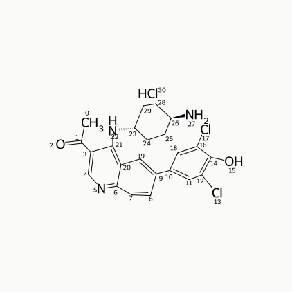 CC(=O)c1cnc2ccc(-c3cc(Cl)c(O)c(Cl)c3)cc2c1N[C@H]1CC[C@H](N)CC1.Cl